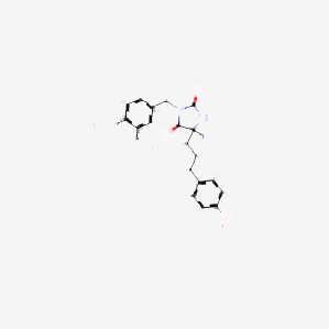 COc1ccc(CCCC2(C)NC(=O)N(Cc3ccc(C)c(C)c3)C2=O)cc1